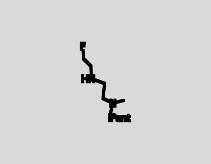 CCCC(C)N(C)CCNCCF